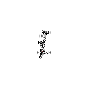 O=C(N[C@H]1CCCN(C(=O)COc2cccc([C@@](O)(C(=O)O)c3ccccc3CC3CCN(Cc4ccccc4)CC3)c2)C1)c1ccc(CNC[C@H](O)c2ccc(O)c3[nH]c(=O)ccc23)cc1